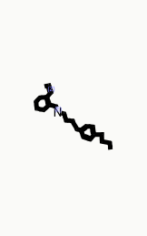 C/C=C\C1=C(/C=N/CCCCc2ccc(CCCC)cc2)CCCC1